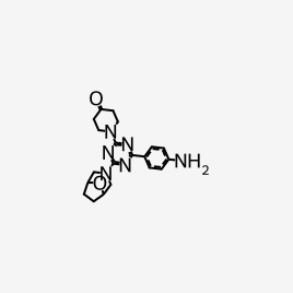 Nc1ccc(-c2nc(N3CCC(=O)CC3)nc(N3CC4CCC(C3)O4)n2)cc1